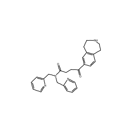 O=C(CCC(=O)N(Cc1ccccn1)Cc1ccccn1)c1ccc2c(c1)CCNCC2